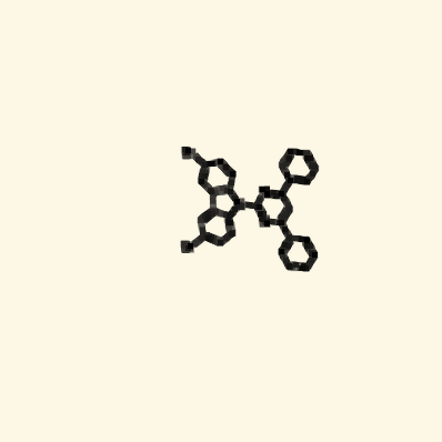 Brc1ccc2c(c1)c1cc(Br)ccc1n2-c1nc(-c2ccccc2)cc(-c2ccccc2)n1